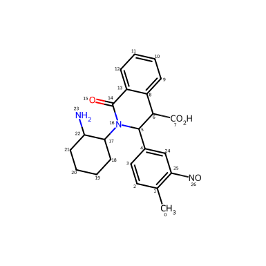 Cc1ccc(C2C(C(=O)O)c3ccccc3C(=O)N2C2CCCCC2N)cc1N=O